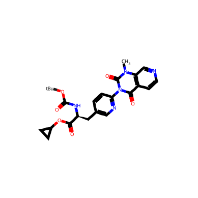 Cn1c(=O)n(-c2ccc(C[C@H](NC(=O)OC(C)(C)C)C(=O)OC3CC3)cn2)c(=O)c2ccncc21